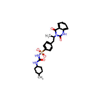 CC1CCC(NC(=O)NS(=O)(=O)c2ccc(CC(C)n3c(=O)[nH]c4ccccc4c3=O)cc2)CC1